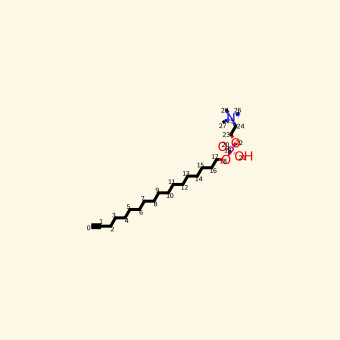 C#CCCCCCCCCCCCCCCCCOP(=O)(O)OCC[N+](C)(C)C